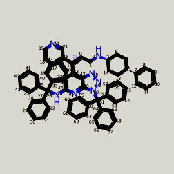 C(/CN[C@H]1CC[C@H](c2ccccc2)CC1)=C(\c1cccnc1)c1cc(NC(c2ccccc2)(c2ccccc2)c2ccccc2)nc2c1nnn2C(c1ccccc1)(c1ccccc1)c1ccccc1